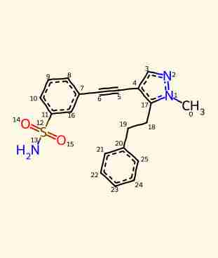 Cn1ncc(C#Cc2cccc(S(N)(=O)=O)c2)c1CCc1ccccc1